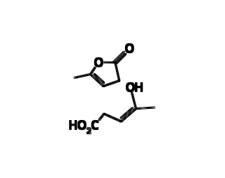 CC(O)=CCC(=O)O.CC1=CCC(=O)O1